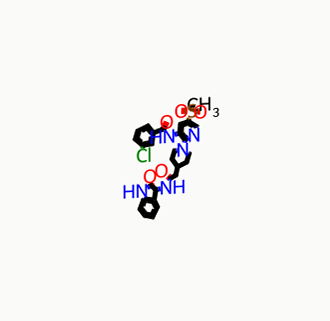 CS(=O)(=O)c1cnc(N2CCC(CC(=O)NC3C(=O)Nc4ccccc43)CC2)c(NC(=O)c2cccc(Cl)c2)c1